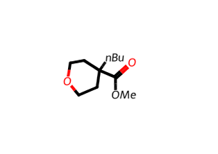 CCCCC1(C(=O)OC)CCOCC1